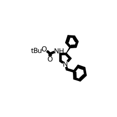 CC(C)(C)OC(=O)N[C@H]1CN(Cc2ccccc2)C[C@@H]1c1ccccc1